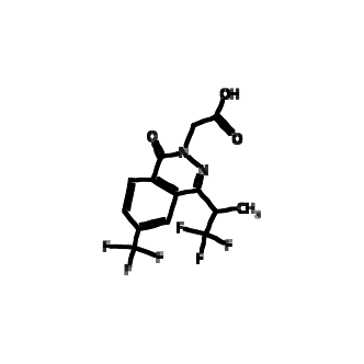 CC(c1nn(CC(=O)O)c(=O)c2ccc(C(F)(F)F)cc12)C(F)(F)F